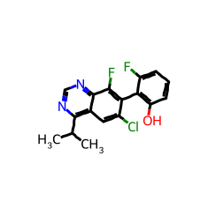 CC(C)c1ncnc2c(F)c(-c3c(O)cccc3F)c(Cl)cc12